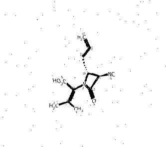 [C-]#[N+][C@H]1C(=O)N(C(C(=O)O)=C(C)C)[C@@H]1CC=C